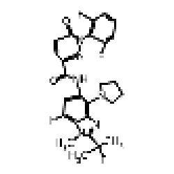 Cn1c(C(C)(C)F)nc2c(N3CCCC3)c(NC(=O)c3ccc(=O)n(-c4c(F)cccc4F)n3)cc(F)c21